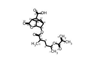 C=C(C)C(=O)OC(C)CCC(C)C(=O)OC1C2CC3C1OC(=O)C3C2C(=O)O